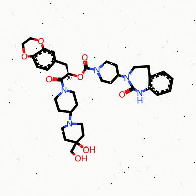 O=C(O[C@H](Cc1ccc2c(c1)OCCO2)C(=O)N1CCC(N2CCC(O)(CO)CC2)CC1)N1CCC(N2CCc3ccccc3NC2=O)CC1